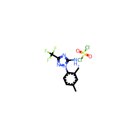 Cc1ccc(-n2nc(C(F)(F)F)nc2N)c(C)c1.O=S(=O)(Cl)Cl